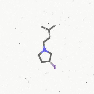 CC(C)CCN1CC[C@@H](I)C1